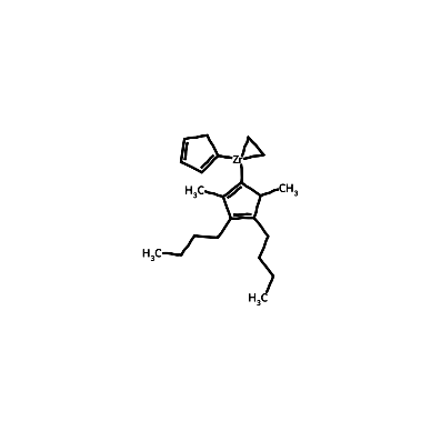 CCCCC1=C(CCCC)C(C)[C]([Zr]2([C]3=CC=CC3)[CH2][CH2]2)=C1C